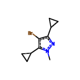 Cn1nc(C2CC2)c(Br)c1C1CC1